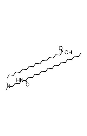 CCCCCCCCCCCCCCCCCC(=O)NCCCN(C)C.CCCCCCCCCCCCCCCCCC(=O)O